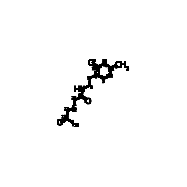 Cc1ccn(CCNC(=O)CSCC(=O)I)c(=O)c1